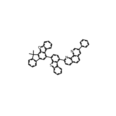 CC1(C)c2ccccc2-c2cc(-c3ccc(-c4ccc5ccc6cc(-c7ccccc7)cnc6c5n4)c4c3sc3ccccc34)c3c(oc4ccccc43)c21